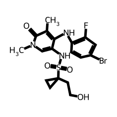 Cc1c(Nc2ccc(Br)cc2F)c(NS(=O)(=O)C2(CCO)CC2)cn(C)c1=O